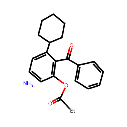 CCC(=O)Oc1cccc(C2CCCCC2)c1C(=O)c1ccccc1.N